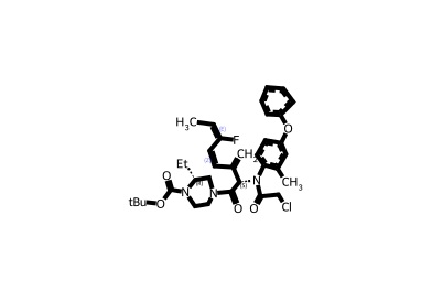 C=C(/C=C\C(F)=C/C)[C@@H](C(=O)N1CCN(C(=O)OC(C)(C)C)[C@H](CC)C1)N(C(=O)CCl)c1ccc(Oc2ccccc2)cc1C